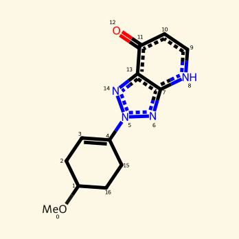 COC1CC=C(n2nc3[nH]ccc(=O)c3n2)CC1